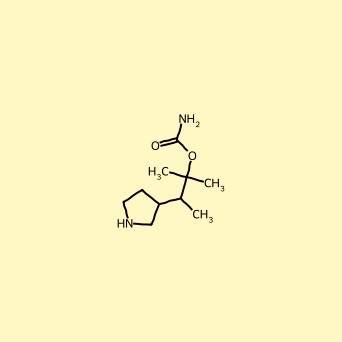 CC(C1CCNC1)C(C)(C)OC(N)=O